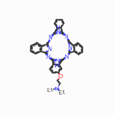 CCN(CC)CCOc1ccc2c3nc4nc(nc5[nH]c(nc6nc(nc([nH]3)c2c1)-c1ccccc1-6)c1ccccc51)-c1ccccc1-4